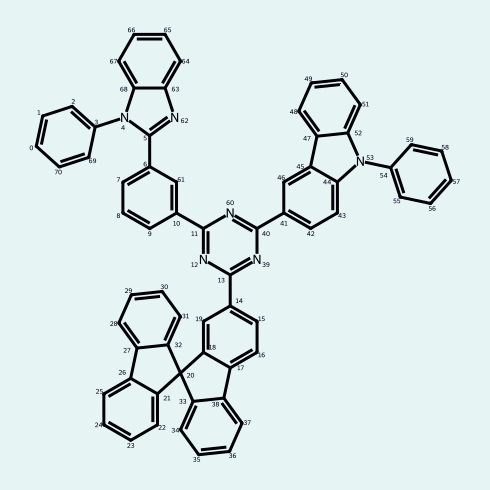 c1ccc(-n2c(-c3cccc(-c4nc(-c5ccc6c(c5)C5(c7ccccc7-c7ccccc75)c5ccccc5-6)nc(-c5ccc6c(c5)c5ccccc5n6-c5ccccc5)n4)c3)nc3ccccc32)cc1